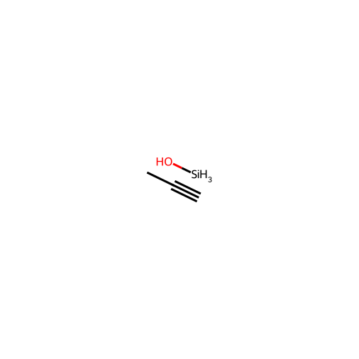 C#CC.O[SiH3]